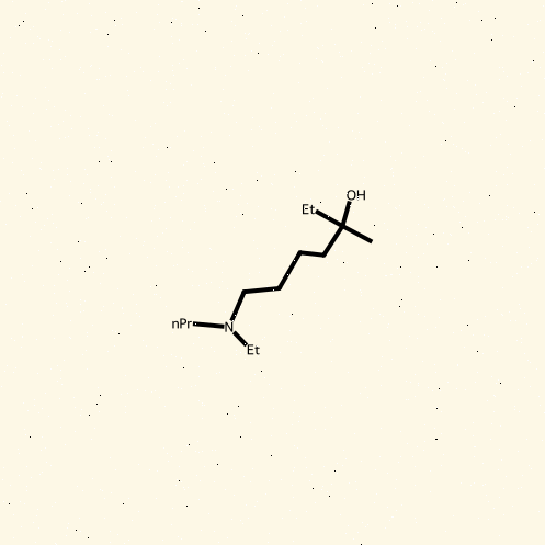 CCCN(CC)CCCCC(C)(O)CC